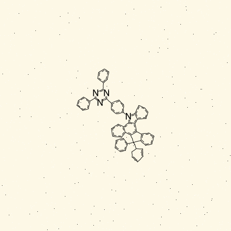 C1=CCC(C2(c3ccccc3)c3ccccc3-c3c2c2ccccc2c2c3c3ccccc3n2-c2ccc(-c3nc(-c4ccccc4)nc(-c4ccccc4)n3)cc2)C=C1